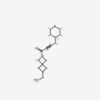 CCC1CC2(C1)CN(C(=O)C#CCN1CCCCC1)C2